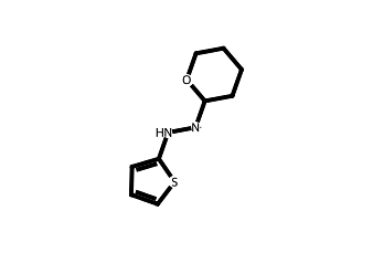 c1csc(N[N]C2CCCCO2)c1